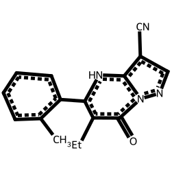 CCc1c(-c2ccccc2C)[nH]c2c(C#N)cnn2c1=O